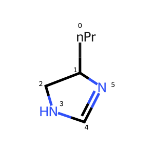 CCCC1CNC=N1